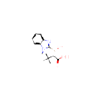 Cn1c([S+]([O-])[C@H](C(=O)O)C(C)(C)C)nc2ccccc21